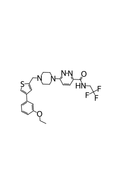 CCOc1cccc(-c2csc(CN3CCN(c4ccc(C(=O)NCC(F)(F)F)nn4)CC3)c2)c1